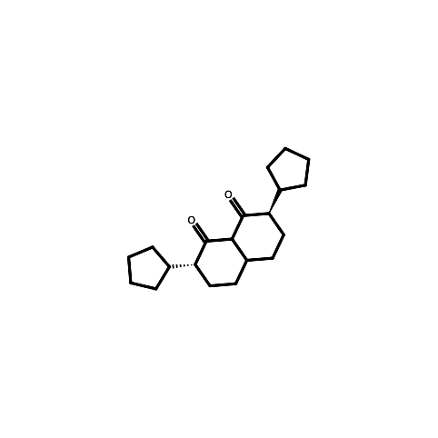 O=C1C2C(=O)[C@@H](C3CCCC3)CCC2CC[C@@H]1C1CCCC1